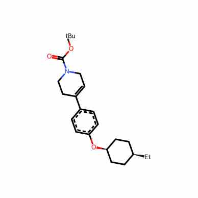 CC[C@H]1CC[C@@H](Oc2ccc(C3=CCN(C(=O)OC(C)(C)C)CC3)cc2)CC1